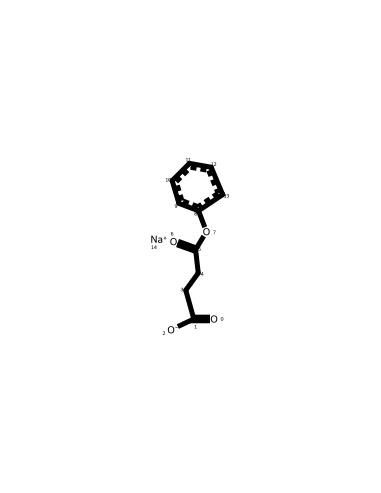 O=C([O-])CCC(=O)Oc1ccccc1.[Na+]